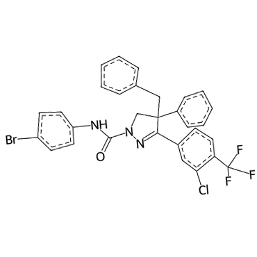 O=C(Nc1ccc(Br)cc1)N1CC(Cc2ccccc2)(c2ccccc2)C(c2ccc(C(F)(F)F)c(Cl)c2)=N1